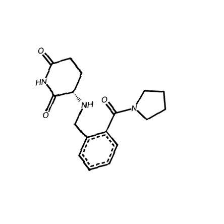 O=C1CC[C@H](NCc2ccccc2C(=O)N2CCCC2)C(=O)N1